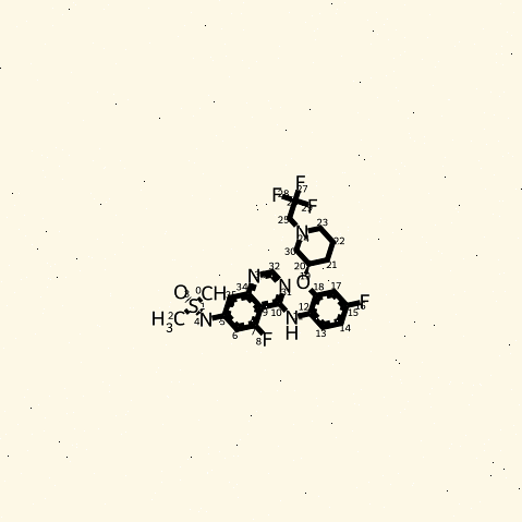 CS(C)(=O)=Nc1cc(F)c2c(Nc3ccc(F)cc3O[C@@H]3CCCN(CC(F)(F)F)C3)ncnc2c1